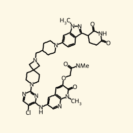 CNC(=O)COc1cc2cc(Nc3nc(N4CCC5(CC4)CN(CC4CCN(c6ccc7c(C8CCC(=O)NC8=O)nn(C)c7c6)CC4)C5)ncc3Cl)cnc2n(C)c1=O